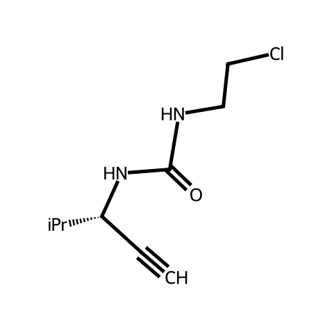 C#C[C@@H](NC(=O)NCCCl)C(C)C